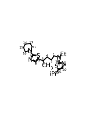 CCN(CCCC(C)c1cnc(N2CCCCC2)s1)c1ncc(C(C)C)s1